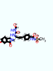 COc1ccc2c(c1)C(=O)N(C[C@@H](C#Cc1ccc(C(=O)NS(C)(=O)=O)cc1)NC(=O)NC=O)C2